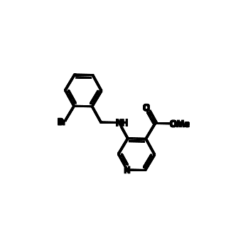 COC(=O)c1ccncc1NCc1ccccc1Br